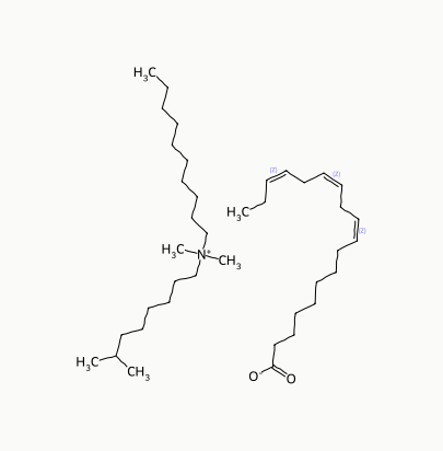 CC/C=C\C/C=C\C/C=C\CCCCCCCC(=O)[O-].CCCCCCCCCC[N+](C)(C)CCCCCCC(C)C